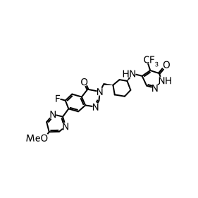 COc1cnc(-c2cc3ncn(C[C@@H]4CCC[C@H](Nc5cn[nH]c(=O)c5C(F)(F)F)C4)c(=O)c3cc2F)nc1